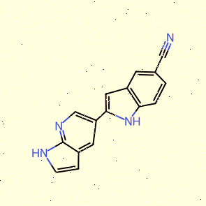 N#Cc1ccc2[nH]c(-c3cnc4[nH]ccc4c3)cc2c1